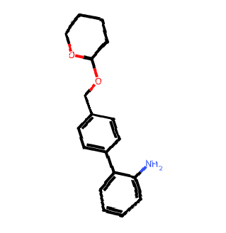 Nc1ccccc1-c1ccc(COC2CCCCO2)cc1